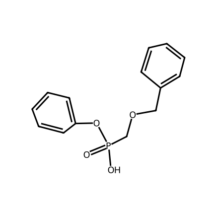 O=P(O)(COCc1ccccc1)Oc1ccccc1